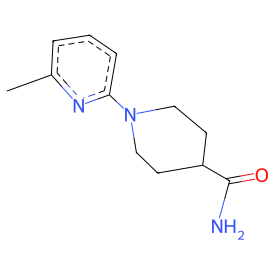 Cc1cccc(N2CCC(C(N)=O)CC2)n1